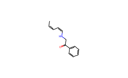 C/C=C\C=C/NCC(=O)c1ccccc1